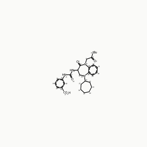 CC(C)(C)C(=O)CN1C(=O)C(NC(=O)Nc2cccc(C(=O)O)c2)CN(C2CCCCCC2)c2ccccc21